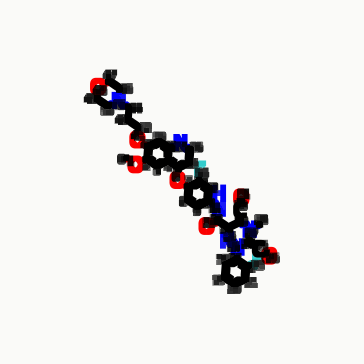 COc1cc2c(Oc3ccc(NC(=O)C4=NN(c5ccccc5F)C(=C=O)N(C)C4=C=O)cc3F)ccnc2cc1OCCCN1CCOCC1